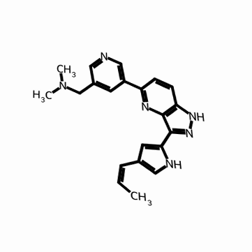 C/C=C\c1c[nH]c(-c2n[nH]c3ccc(-c4cncc(CN(C)C)c4)nc23)c1